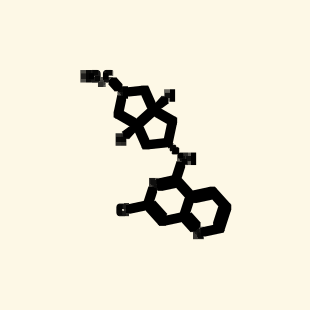 O=C(O)N1C[C@H]2C[C@@H](Nc3nc(Cl)cc4ncccc34)C[C@H]2C1